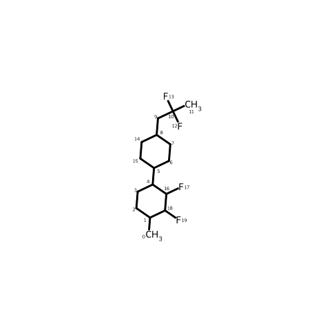 CC1CCC(C2CCC(CC(C)(F)F)CC2)C(F)C1F